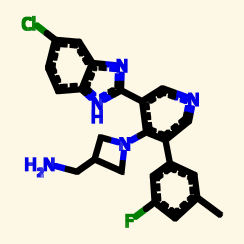 Cc1cc(F)cc(-c2cncc(-c3nc4cc(Cl)ccc4[nH]3)c2N2CC(CN)C2)c1